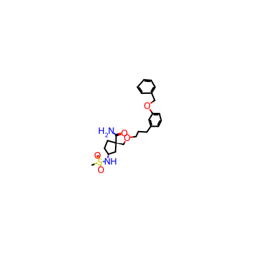 CS(=O)(=O)N[C@H]1CC[C@](COCCCc2cccc(OCc3ccccc3)c2)(C(N)=O)C1